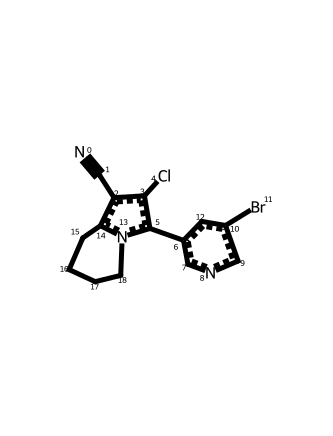 N#Cc1c(Cl)c(-c2cncc(Br)c2)n2c1CCCC2